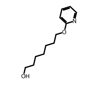 OCCCCCCCOc1ccccn1